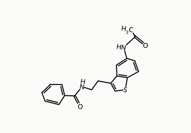 CC(=O)Nc1ccc2scc(CCNC(=O)c3ccccc3)c2c1